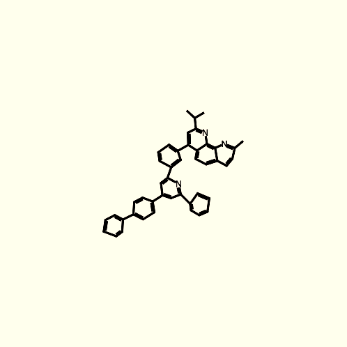 Cc1ccc2ccc3c(-c4cccc(-c5cc(-c6ccc(-c7ccccc7)cc6)cc(-c6ccccc6)n5)c4)cc(C(C)C)nc3c2n1